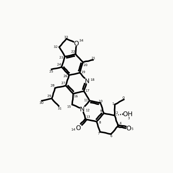 CC[C@@]1(O)C(=O)CCc2c1cc1n(c2=O)Cc2c-1nc1c(C)c3c(c(C)c1c2CC(C)C)CCO3